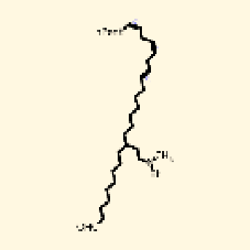 CCCCC/C=C\C/C=C\C/C=C/CCCCCCC(CCCCCCCCC=O)CCN(C)CC